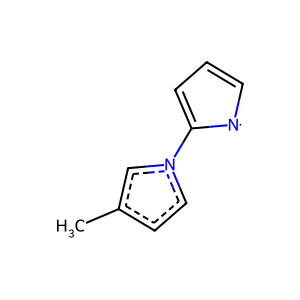 Cc1ccn(C2=CC=C[N]2)c1